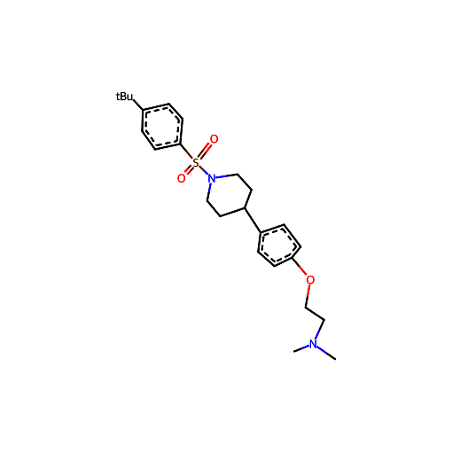 CN(C)CCOc1ccc(C2CCN(S(=O)(=O)c3ccc(C(C)(C)C)cc3)CC2)cc1